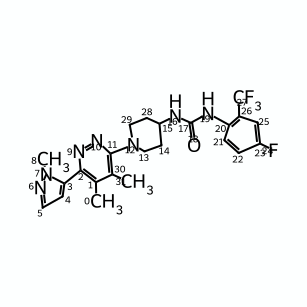 Cc1c(-c2ccnn2C)nnc(N2CCC(NC(=O)Nc3ccc(F)cc3C(F)(F)F)CC2)c1C